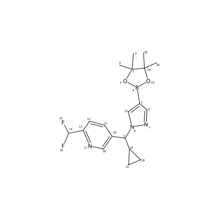 CC1(C)OB(c2cnn(C(c3ccc(C(F)F)nc3)C3CC3)c2)OC1(C)C